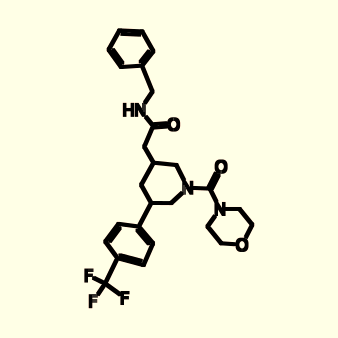 O=C(CC1CC(c2ccc(C(F)(F)F)cc2)CN(C(=O)N2CCOCC2)C1)NCc1ccccc1